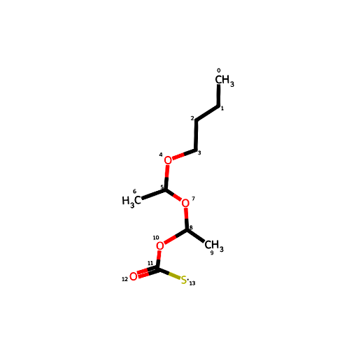 CCCCOC(C)OC(C)OC(=O)[S]